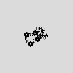 CNC(=O)C(CN(NCc1ccc(OCc2cccc(F)c2)cc1)C(=O)C(C)C)NCc1ccc(OCc2cccc(F)c2)cc1